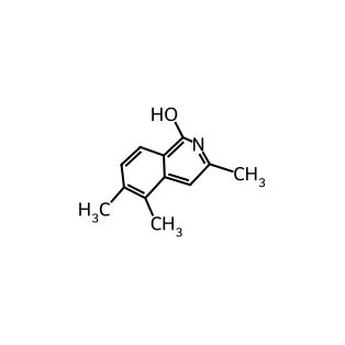 Cc1cc2c(C)c(C)ccc2c(O)n1